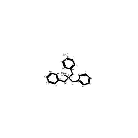 CC[N+](Cc1ccccc1)(Cc1ccccc1)Cc1ccccc1.[I-]